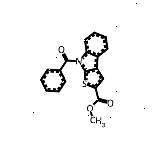 COC(=O)c1cc2c3ccccc3n(C(=O)c3ccccc3)c2s1